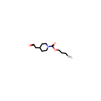 CCCCOC(=O)N1CCC(CC=O)CC1